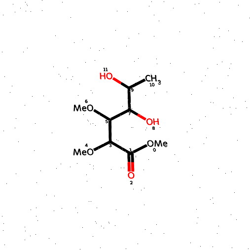 COC(=O)C(OC)C(OC)C(O)C(C)O